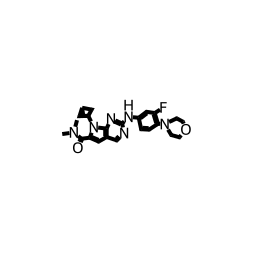 CN(C)C(=O)c1cc2cnc(Nc3ccc(N4CCOCC4)c(F)c3)nc2n1C12CC(C1)C2